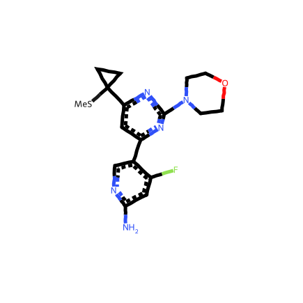 CSC1(c2cc(-c3cnc(N)cc3F)nc(N3CCOCC3)n2)CC1